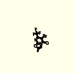 Cc1cn2c(=O)c(Br)c(C(F)(F)F)nc2o1